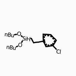 CCCCO[SiH](CCc1cccc(Cl)c1)OCCCC